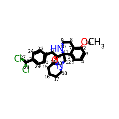 COc1cccc2c1CCNC2(CN1CCCCC1)C(=O)Cc1ccc(C(Cl)Cl)cc1